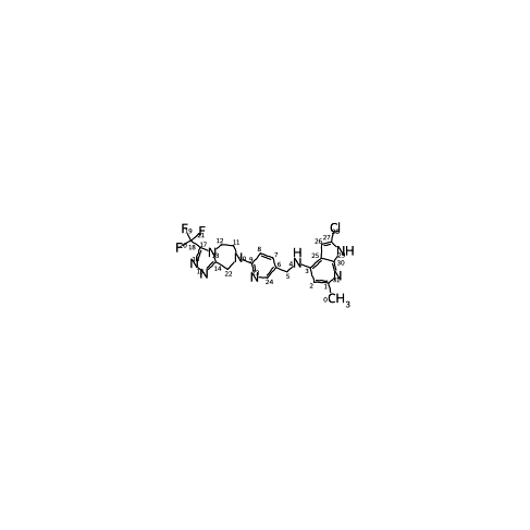 Cc1cc(NCc2ccc(N3CCn4c(nnc4C(F)(F)F)C3)nc2)c2cc(Cl)[nH]c2n1